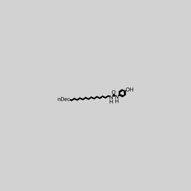 CCCCCCCCCCCCCCCCCCCCCCCCNC(=O)Nc1ccc(O)cc1